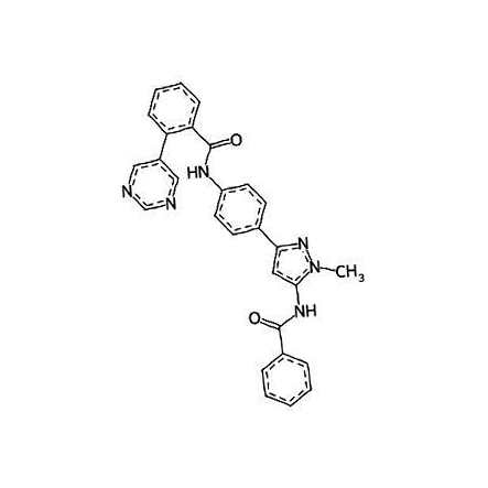 Cn1nc(-c2ccc(NC(=O)c3ccccc3-c3cncnc3)cc2)cc1NC(=O)c1ccccc1